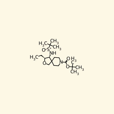 CC[C@@H]1OCC2(CCN(C(=O)OC(C)(C)C)CC2)[C@@H]1N[S@+]([O-])C(C)(C)C